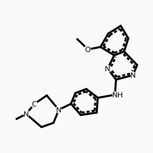 COc1cccc2cnc(Nc3ccc(N4CCN(C)CC4)cc3)nc12